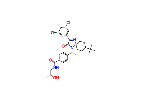 C[C@H](c1ccc(C(=O)NC[C@@H](C)O)cc1)N1C(=O)C(c2cc(Cl)cc(Cl)c2)=NC12CCC(C(C)(C)C)CC2